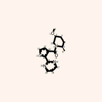 CO[C@@H]1CC[C@@H](C)N(C(=O)c2ccsc2-c2ncccn2)C1